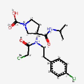 CC(C)NC(=O)[C@]1(N(CCc2ccc(Cl)cc2)C(=O)CCl)CCN(C(=O)O)C1